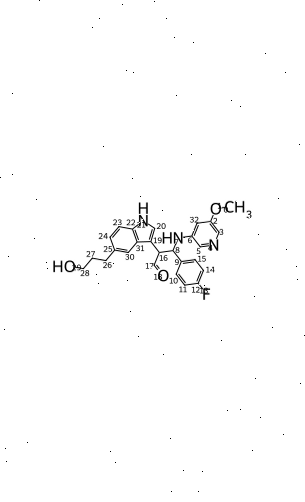 COc1cncc(NC(c2ccc(F)cc2)C(C=O)c2c[nH]c3ccc(CCCO)cc23)c1